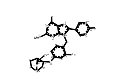 COc1nc(C)c2nc(-c3cnc(C)nc3)n(Cc3ccc(O[C@@H]4CN5CCC4CC5)cc3F)c2n1